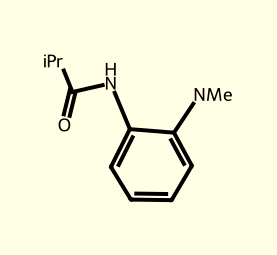 CNc1ccccc1NC(=O)C(C)C